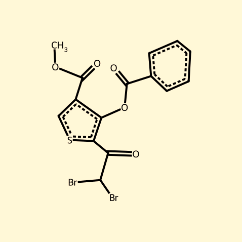 COC(=O)c1csc(C(=O)C(Br)Br)c1OC(=O)c1ccccc1